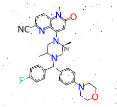 CC1CN(c2cc(=O)n(C)c3ccc(C#N)nc23)[C@@H](C)CN1C(c1ccc(F)cc1)c1ccc(N2CCOCC2)cc1